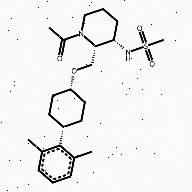 CC(=O)N1CCC[C@H](NS(C)(=O)=O)[C@@H]1CO[C@H]1CC[C@@H](c2c(C)cccc2C)CC1